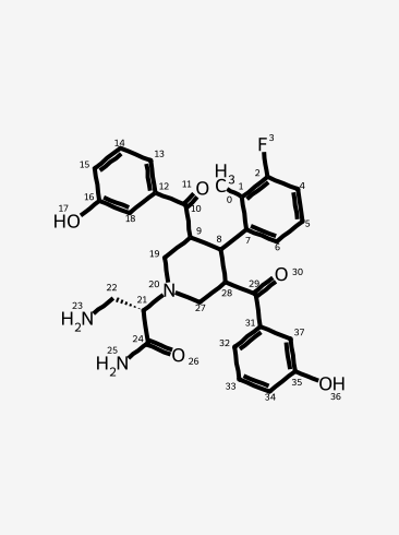 Cc1c(F)cccc1C1C(C(=O)c2cccc(O)c2)CN([C@@H](CN)C(N)=O)CC1C(=O)c1cccc(O)c1